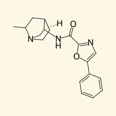 CC1CC2CCN1C[C@@H]2NC(=O)c1ncc(-c2ccccc2)o1